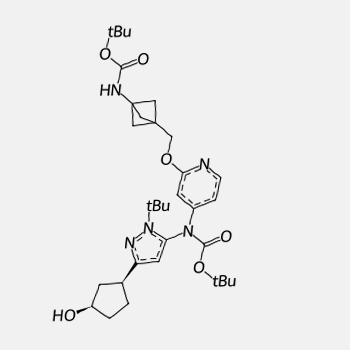 CC(C)(C)OC(=O)NC12CC(COc3cc(N(C(=O)OC(C)(C)C)c4cc([C@H]5CC[C@@H](O)C5)nn4C(C)(C)C)ccn3)(C1)C2